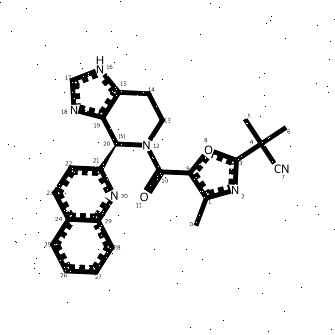 Cc1nc(C(C)(C)C#N)oc1C(=O)N1CCc2[nH]cnc2[C@@H]1c1ccc2ccccc2n1